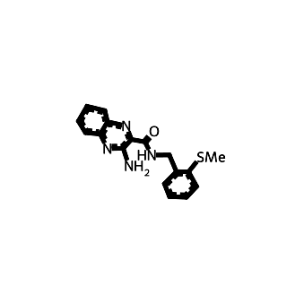 CSc1ccccc1CNC(=O)c1nc2ccccc2nc1N